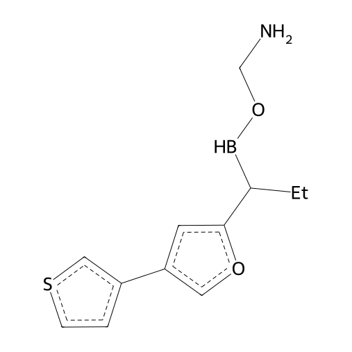 CCC(BOCN)c1cc(-c2ccsc2)co1